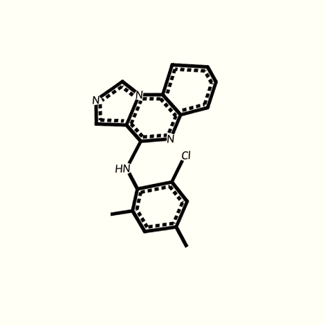 Cc1cc(C)c(Nc2nc3ccccc3n3cncc23)c(Cl)c1